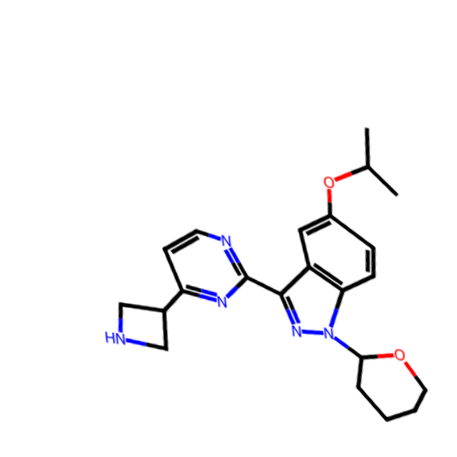 CC(C)Oc1ccc2c(c1)c(-c1nccc(C3CNC3)n1)nn2C1CCCCO1